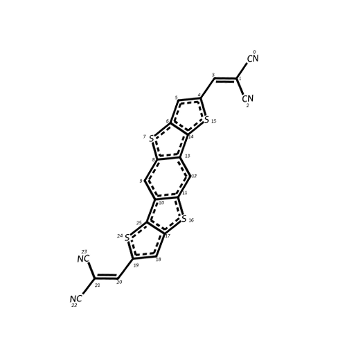 N#CC(C#N)=Cc1cc2sc3cc4c(cc3c2s1)sc1cc(C=C(C#N)C#N)sc14